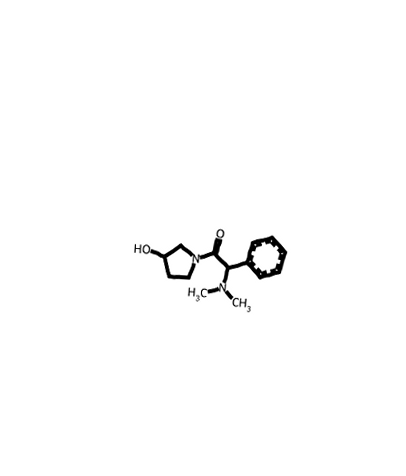 CN(C)C(C(=O)N1CCC(O)C1)c1ccccc1